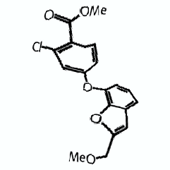 COCc1cc2cccc(Oc3ccc(C(=O)OC)c(Cl)c3)c2o1